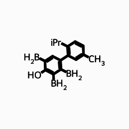 Bc1cc(-c2cc(C)ccc2C(C)C)c(B)c(B)c1O